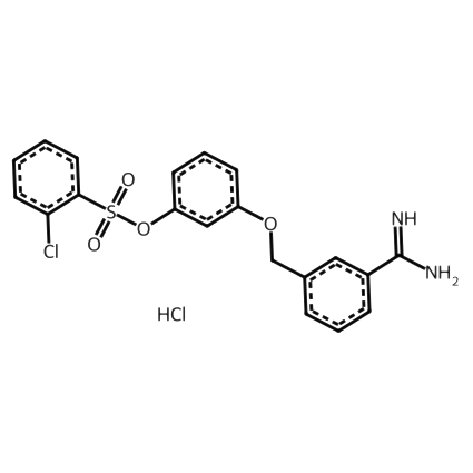 Cl.N=C(N)c1cccc(COc2cccc(OS(=O)(=O)c3ccccc3Cl)c2)c1